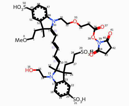 COCCC1(C)\C(=C/C=C/C=C/C2(C)N(CCO)c3ccc(S(=O)(=O)O)cc3C2(C)CCCS(=O)(=O)O)N(CCOCCC(=O)ON2C(=O)CCC2=O)c2ccc(S(=O)(=O)O)cc21